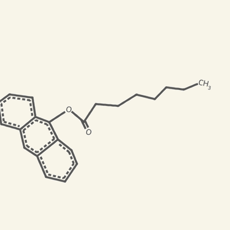 CCCCCCCC(=O)Oc1c2ccccc2cc2ccccc12